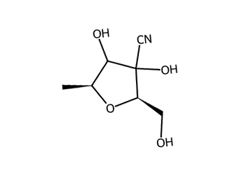 C[C@@H]1O[C@H](CO)C(O)(C#N)C1O